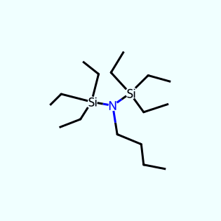 CCCCN([Si](CC)(CC)CC)[Si](CC)(CC)CC